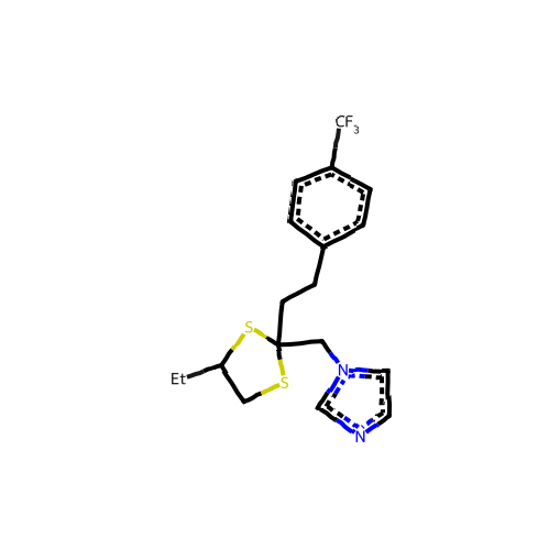 CCC1CSC(CCc2ccc(C(F)(F)F)cc2)(Cn2ccnc2)S1